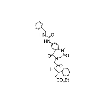 CCOC(=O)CC(NC(=O)CN1CC(=O)N(C)c2ccc(NC(=O)NCc3ccccc3)cc2C1=O)c1ccccc1